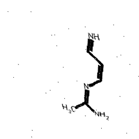 C/C(N)=N/C=C\C=N